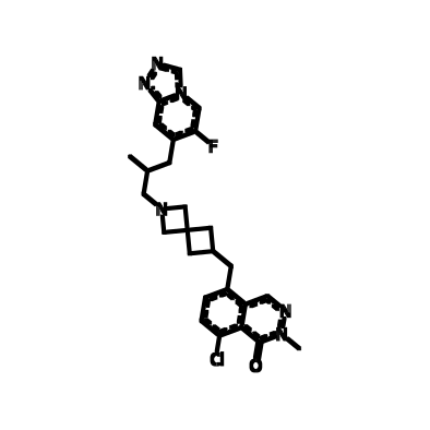 CC(Cc1cc2nncn2cc1F)CN1CC2(CC(Cc3ccc(Cl)c4c(=O)n(C)ncc34)C2)C1